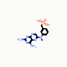 CN(c1cccc(CP(=O)(O)O)c1)c1cnc2nc(N)nc(N)c2n1